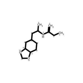 C=C(CC)NC(C)CC1CCC2OCOC2C1